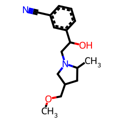 COCC1CC(C)N(CC(O)c2cccc(C#N)c2)C1